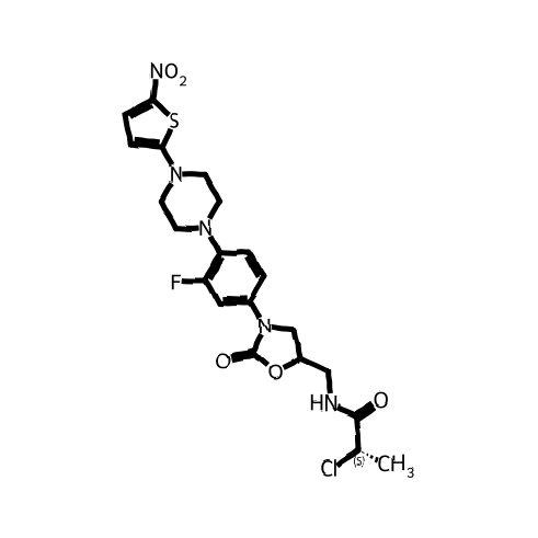 C[C@H](Cl)C(=O)NCC1CN(c2ccc(N3CCN(c4ccc([N+](=O)[O-])s4)CC3)c(F)c2)C(=O)O1